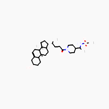 CC(NS(C)(=O)=O)C1CCN(C(=O)CCC(C)[C@H]2CC[C@H]3[C@@H]4CC=C5C[C@@H](O)CC[C@]5(C)[C@H]4CC[C@]23C)CC1